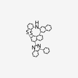 c1ccc(-c2nc(-c3cc4c5c6c(cccc36)-c3cc6ccccc6cc3Nc3cccc(c3S5)S4)nc3ccccc23)cc1